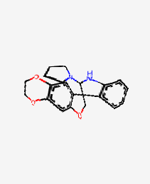 c1ccc2c(c1)NC(N1CCCC1)C21COc2cc3c(cc21)OCCO3